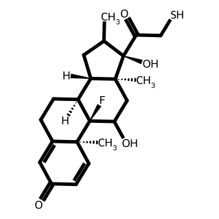 CC1C[C@H]2[C@@H]3CCC4=CC(=O)C=C[C@]4(C)[C@@]3(F)C(O)C[C@]2(C)[C@@]1(O)C(=O)CS